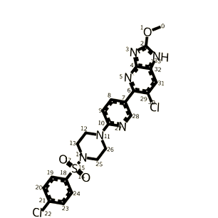 COc1nc2nc(-c3ccc(N4CCN(S(=O)(=O)c5ccc(Cl)cc5)CC4)nc3)c(Cl)cc2[nH]1